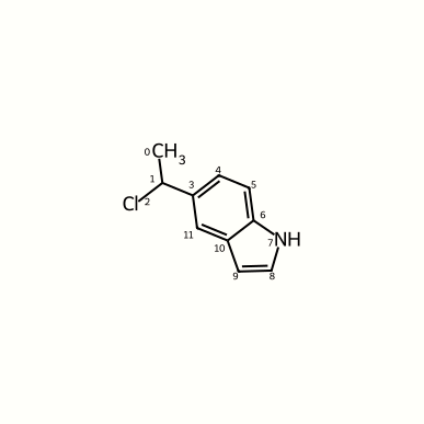 CC(Cl)c1ccc2[nH]ccc2c1